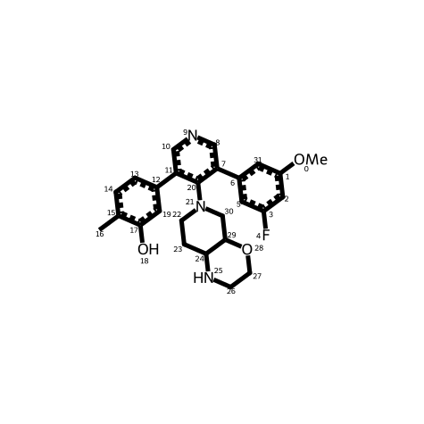 COc1cc(F)cc(-c2cncc(-c3ccc(C)c(O)c3)c2N2CCC3NCCOC3C2)c1